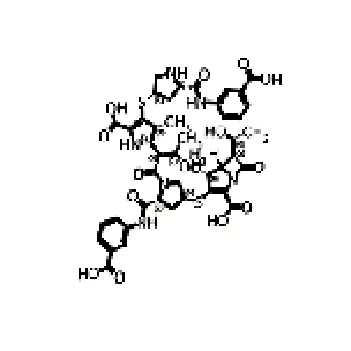 C[C@@H](O)[C@@H](C(=O)N1C[C@@H](SC2=C(C(=O)O)N3C(=O)[C@H]([C@@H](C)O)[C@H]3[C@H]2C)C[C@H]1C(=O)Nc1cccc(C(=O)O)c1)[C@@H]1NC(C(=O)O)=C(S[C@@H]2CN[C@H](C(=O)Nc3cccc(C(=O)O)c3)C2)[C@@H]1C